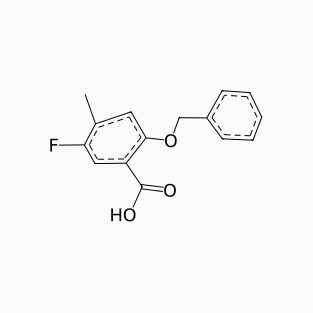 Cc1cc(OCc2ccccc2)c(C(=O)O)cc1F